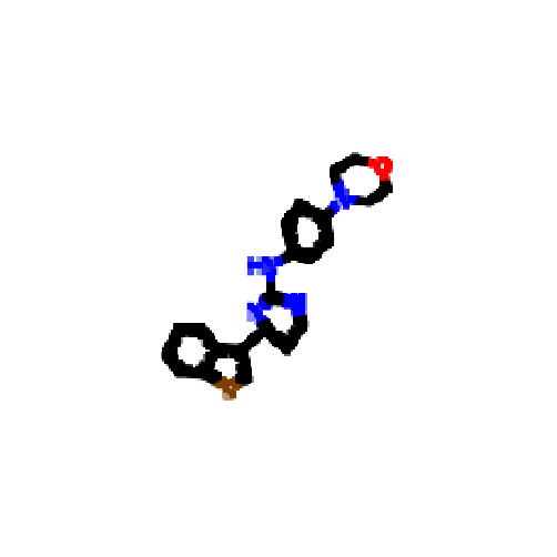 c1ccc2c(-c3ccnc(Nc4ccc(N5CCOCC5)cc4)n3)csc2c1